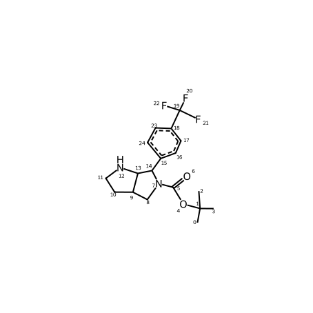 CC(C)(C)OC(=O)N1CC2CCNC2C1c1ccc(C(F)(F)F)cc1